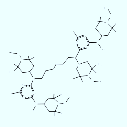 CCCCN(c1nc(Cl)nc(C(CCCCCCN(c2nc(Cl)nc(N(CCCC)C3CC(C)(C)N(OCCC)C(C)(C)C3)n2)C2CC(C)(C)N(OCCC)C(C)(C)C2)N2CC(C)(C)N(OCCC)C(C)(C)C2)n1)C1CC(C)(C)N(OCCC)C(C)(C)C1